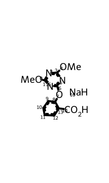 COc1nc(OC)nc(Oc2ccccc2C(=O)O)n1.[NaH]